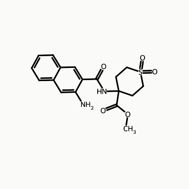 COC(=O)C1(NC(=O)c2cc3ccccc3cc2N)CCS(=O)(=O)CC1